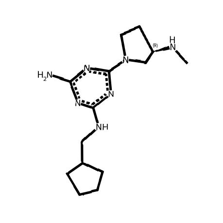 CN[C@@H]1CCN(c2nc(N)nc(NCC3CCCC3)n2)C1